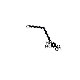 O=CCCCCCCC/C=C\CCCCCCCCNc1ccc(C(=O)O)cc1O